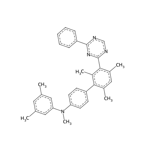 Cc1cc(C)cc(N(C)c2ccc(-c3c(C)cc(C)c(-c4ncnc(-c5ccccc5)n4)c3C)cc2)c1